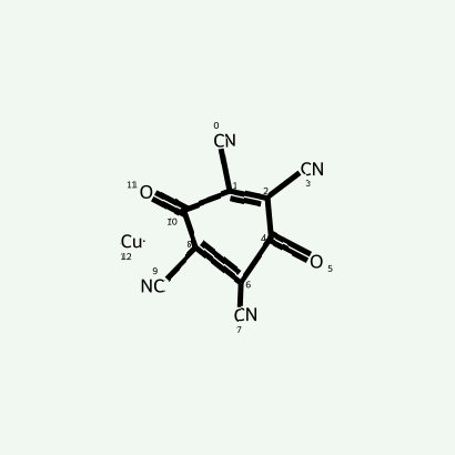 N#CC1=C(C#N)C(=O)C(C#N)=C(C#N)C1=O.[Cu]